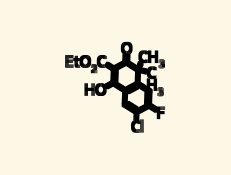 CCOC(=O)C1=C(O)c2cc(Cl)c(F)cc2C(C)(C)C1=O